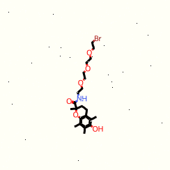 Cc1c(C)c2c(c(C)c1O)CCC(C)(C(=O)NCCOCCOCCOCCBr)O2